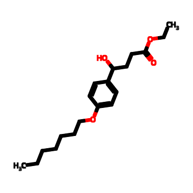 CCCCCCCOc1ccc(C(O)CCC(=O)OCC)cc1